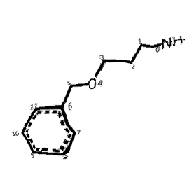 [NH]CCCOCc1ccccc1